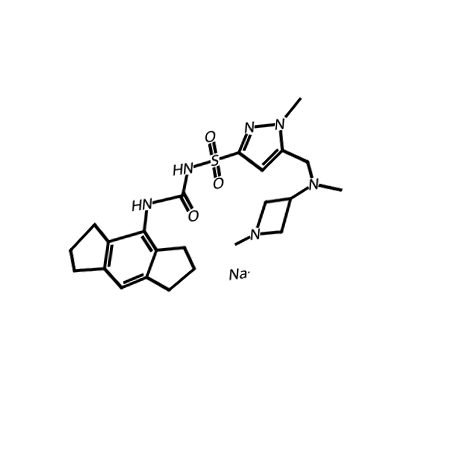 CN1CC(N(C)Cc2cc(S(=O)(=O)NC(=O)Nc3c4c(cc5c3CCC5)CCC4)nn2C)C1.[Na]